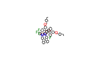 C=Cc1ccc(COc2ccc(C3(c4ccc(F)cc4)c4ccccc4-c4ccc(N(c5ccc(F)cc5)c5ccc6c(c5)C5(c7ccccc7-6)c6ccccc6-c6ccc(N(c7ccc(F)cc7)c7ccc8c(c7)C(c7ccc(F)cc7)(c7ccc(OCc9ccc(C=C)cc9)cc7)c7ccccc7-8)cc65)cc43)cc2)cc1